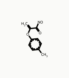 C=C(Oc1ccc(C)cc1)C(=O)N=O